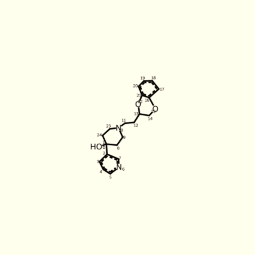 OC1(c2cccnc2)CCN(CCC2COc3ccccc3O2)CC1